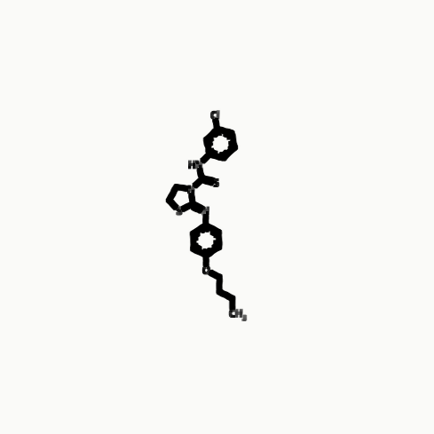 CCCCOc1ccc(N=C2SCCN2C(=S)Nc2cccc(Cl)c2)cc1